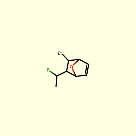 CCC1C2C=CC(O2)C1C(C)F